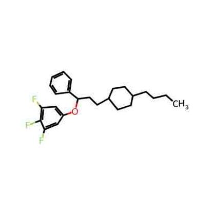 CCCCC1CCC(CCC(Oc2cc(F)c(F)c(F)c2)c2ccccc2)CC1